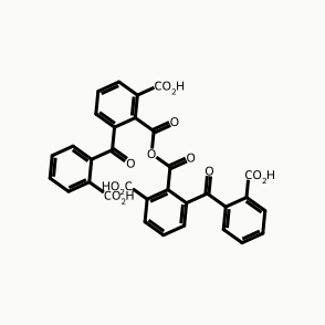 O=C(O)c1ccccc1C(=O)c1cccc(C(=O)O)c1C(=O)OC(=O)c1c(C(=O)O)cccc1C(=O)c1ccccc1C(=O)O